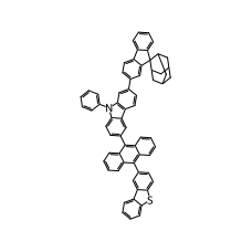 c1ccc(-n2c3ccc(-c4c5ccccc5c(-c5ccc6sc7ccccc7c6c5)c5ccccc45)cc3c3ccc(-c4ccc5c(c4)C4(c6ccccc6-5)C5CC6CC(C5)CC4C6)cc32)cc1